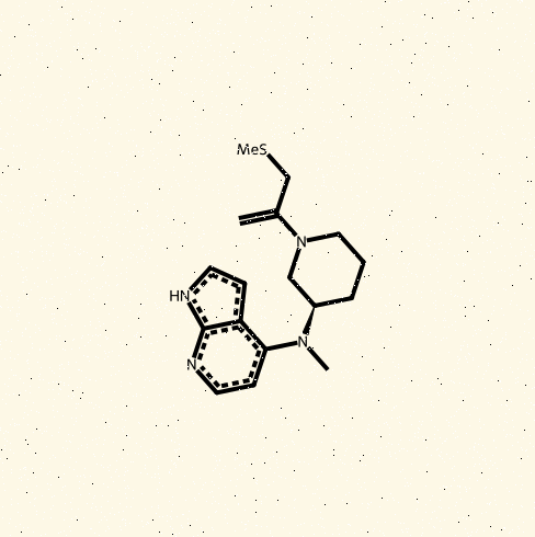 C=C(CSC)N1CCC[C@@H](N(C)c2ccnc3[nH]ccc23)C1